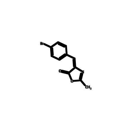 CC1=N/C(=C/c2ccc(Br)cc2)C(=O)O1